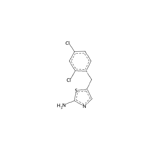 Nc1ncc(Cc2ccc(Cl)cc2Cl)s1